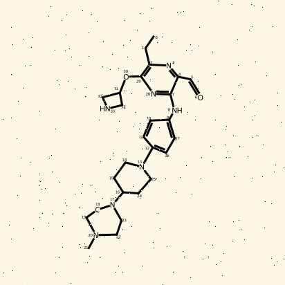 CCc1nc(C=O)c(Nc2ccc(N3CCC(N4CCN(C)CC4)CC3)cc2)nc1OC1CNC1